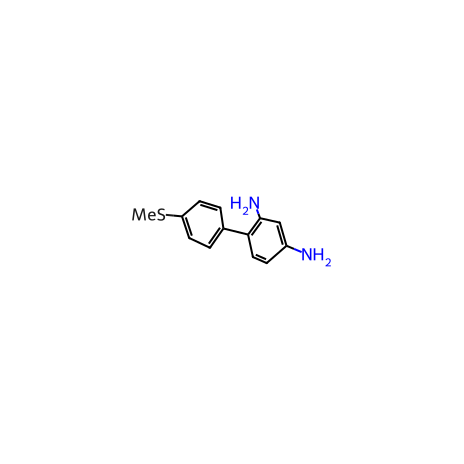 CSc1ccc(-c2ccc(N)cc2N)cc1